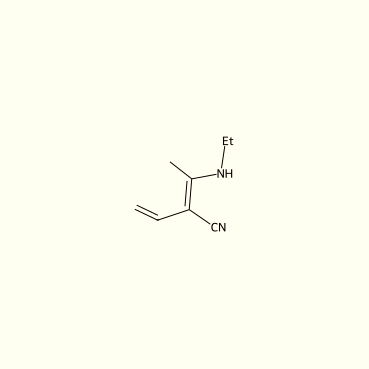 C=C/C(C#N)=C(\C)NCC